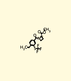 C=Cc1ccc(C(=O)N2CC[C@@H]2C(=O)OC)cc1SC(F)(F)F